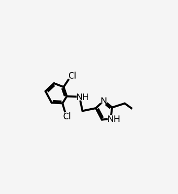 CCc1nc(CNc2c(Cl)cccc2Cl)c[nH]1